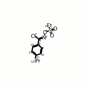 CCS(=O)(=O)ON=C(Cl)c1ccc(C(C)C)cc1